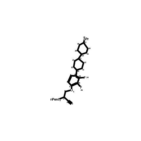 C#CC(CCCCC)COc1ccc(C2CCC(C3CCC(CCC)CC3)CC2)c(F)c1F